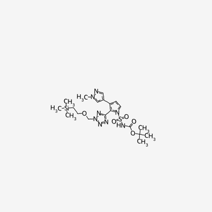 Cn1cc(-c2ccn(S(=O)(=O)NC(=O)OC(C)(C)C)c2-c2nnn(COCC[Si](C)(C)C)n2)cn1